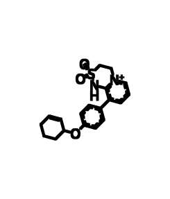 O=S1(=O)CC[n+]2cccc(-c3ccc(OC4C=CCCC4)cc3)c2N1